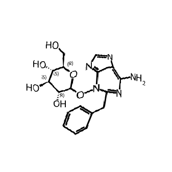 Nc1nc(Cc2ccccc2)n(OC2O[C@H](CO)[C@@H](O)[C@H](O)[C@H]2O)c2ncnc1-2